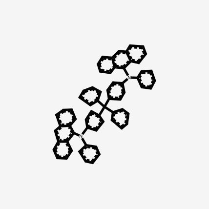 c1ccc(N(c2ccc(C(c3ccccc3)(c3ccccc3)c3ccc(N(c4ccccc4)c4c5ccccc5cc5ccccc45)cc3)cc2)c2c3ccccc3cc3ccccc23)cc1